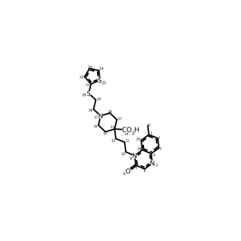 Cc1ccc2ncc(=O)n(CCCC3(C(=O)O)CCN(CCSc4cccs4)CC3)c2c1